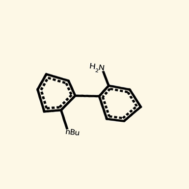 CCCCc1ccccc1-c1ccccc1N